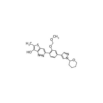 COCOc1cc(-c2cnn(C3CCCCO3)c2)ccc1-c1cc2sc(C)c(O)c2nn1